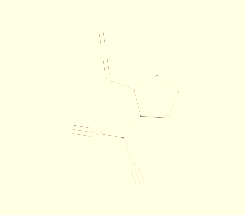 [C-]#[N+]C([N+]#[C-])C1CCCC1N=C=O